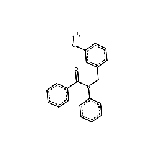 COc1cccc(CN(C(=O)c2ccccc2)c2ccccc2)c1